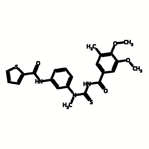 COc1cc(C(=O)NC(=S)N(C)c2cccc(NC(=O)c3cccs3)c2)cc(C)c1OC